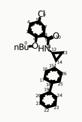 CCCCOc1ccc(Cl)cc1C(=O)N[C@H]1C[C@@H]1c1ccc(-c2ccccc2)cc1